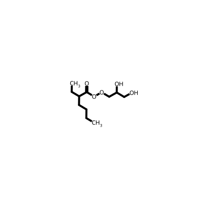 CCCCC(CC)C(=O)OOCC(O)CO